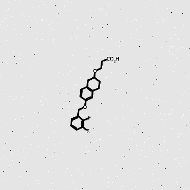 O=C(O)CCOC1CCc2cc(OCc3cccc(F)c3F)ccc2C1